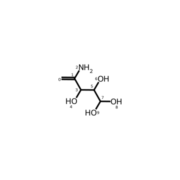 C=C(N)C(O)C(O)C(O)O